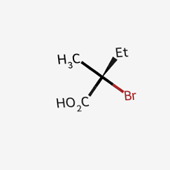 CC[C@@](C)(Br)C(=O)O